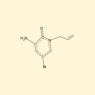 C=CCn1cc(Br)cc(N)c1=O